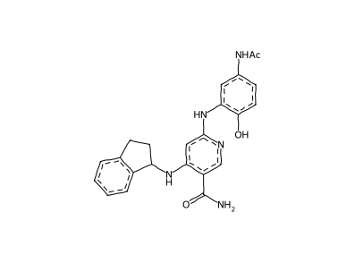 CC(=O)Nc1ccc(O)c(Nc2cc(NC3CCc4ccccc43)c(C(N)=O)cn2)c1